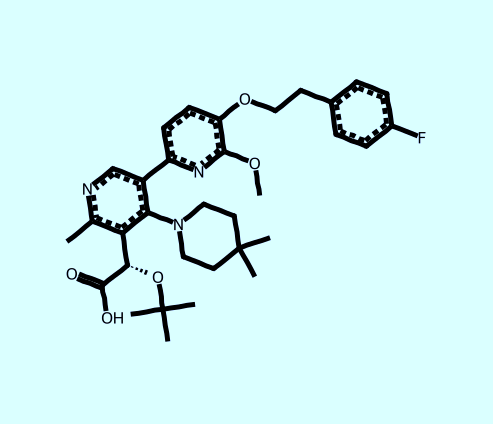 COc1nc(-c2cnc(C)c([C@H](OC(C)(C)C)C(=O)O)c2N2CCC(C)(C)CC2)ccc1OCCc1ccc(F)cc1